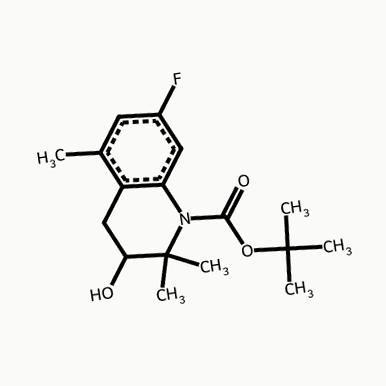 Cc1cc(F)cc2c1CC(O)C(C)(C)N2C(=O)OC(C)(C)C